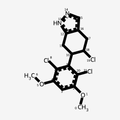 COc1cc(OC)c(Cl)c(C2Cc3[nH]n[c]c3CC2Cl)c1Cl